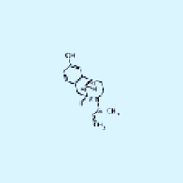 C=C[C@@H](C)N1CC[C@]23CCCC[C@H]2[C@H]1Cc1ccc(O)cc13